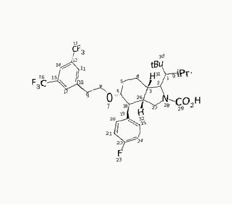 C[C](C)C(C1[C@H]2CC[C@@H](OCCc3cc(C(F)(F)F)cc(C(F)(F)F)c3)[C@H](c3ccc(F)cc3)[C@H]2CN1C(=O)O)C(C)(C)C